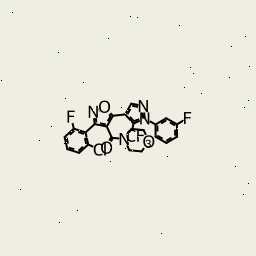 O=C(c1c(-c2c(F)cccc2Cl)noc1-c1cnn(-c2cccc(F)c2)c1C(F)(F)F)N1CCOCC1